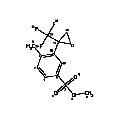 COS(=O)(=O)c1ccc(C)c(C2(C(F)(F)F)CC2)c1